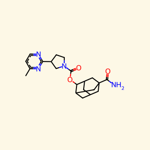 Cc1ccnc(C2CCN(C(=O)OC3C4CC5CC3CC(C(N)=O)(C5)C4)C2)n1